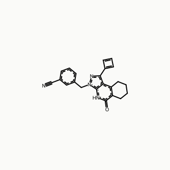 N#Cc1cccc(Cn2nc(C3=CC=C3)c3c4c(c(=O)[nH]c32)CCCC4)c1